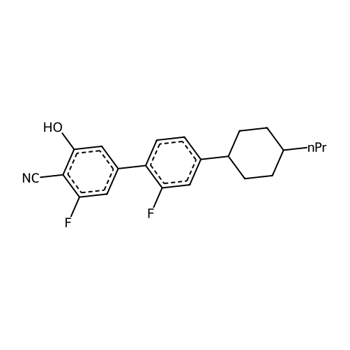 CCCC1CCC(c2ccc(-c3cc(O)c(C#N)c(F)c3)c(F)c2)CC1